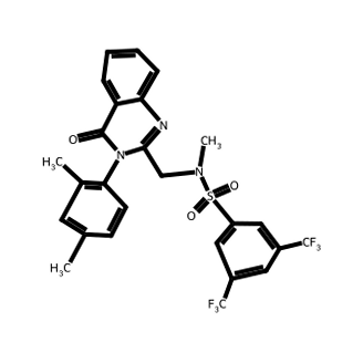 Cc1ccc(-n2c(CN(C)S(=O)(=O)c3cc(C(F)(F)F)cc(C(F)(F)F)c3)nc3ccccc3c2=O)c(C)c1